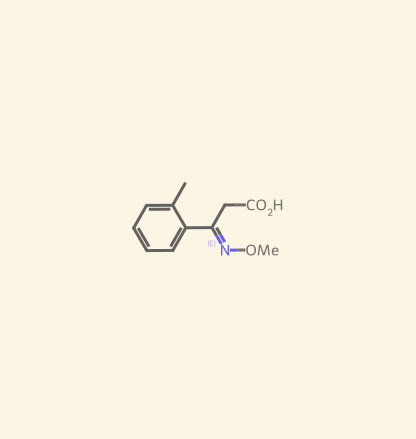 CO/N=C(\CC(=O)O)c1ccccc1C